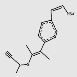 C#CC(C)S/C(C)=C(\C)c1ccc(/C=C\CCCC)cc1